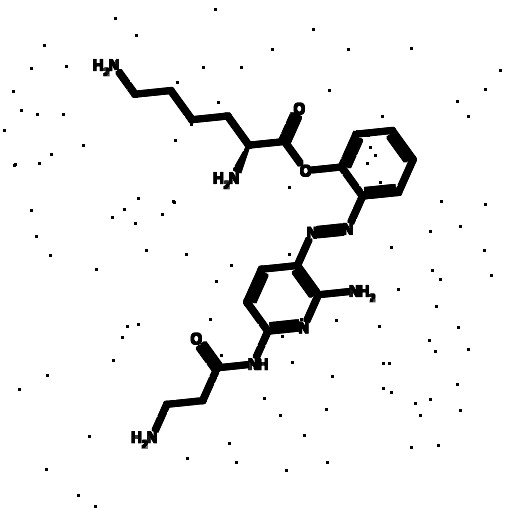 NCCCC[C@H](N)C(=O)Oc1ccccc1/N=N/c1ccc(NC(=O)CCN)nc1N